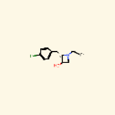 C[C](C)CN1CC(O)[C@@H]1Cc1ccc(Cl)cc1